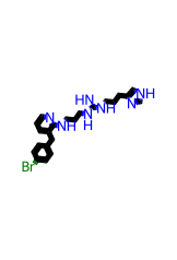 N=C(NCCCNc1ncccc1Cc1ccc(Br)cc1)NCCCc1c[nH]cn1